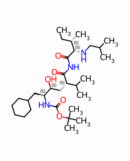 CC[C@H](C)[C@H](NCC(C)C)C(=O)NC(=O)[C@@H](C[C@H](O)[C@H](CC1CCCCC1)NC(=O)OC(C)(C)C)C(C)C